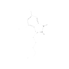 CCCCCN1C(=O)C(=O)c2cc(C)cc(C)c21